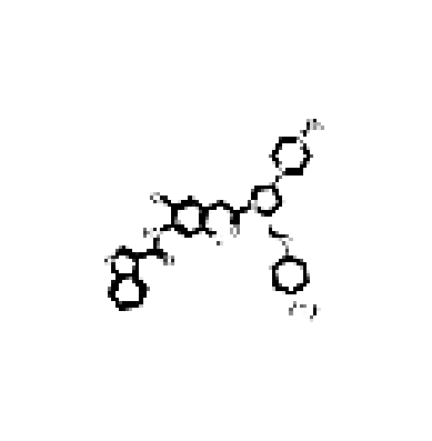 CC(C)(C)N1CCN([C@H]2C[C@@H](CO[C@H]3CC[C@H](C(=O)O)CC3)N(C(=O)Cc3cc(Cl)c(NC(=O)c4coc5ccccc45)cc3Cl)C2)CC1